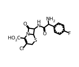 NC(C(=O)NC1C(=O)N2C(C(=O)O)=C(Cl)CSC12)c1ccc(F)cc1